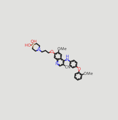 COc1cc2c(Nc3ccc(Oc4ccccc4OC)cc3)c(C#N)cnc2cc1OCCCN1CCS(O)(O)CC1